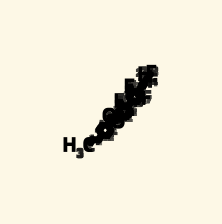 CCCC1CCC(C(=O)Oc2ccc(-c3cc(F)c(C#CC(F)(F)F)c(F)c3)c(F)c2)CC1